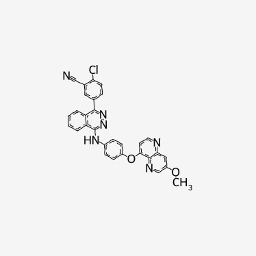 COc1cnc2c(Oc3ccc(Nc4nnc(-c5ccc(Cl)c(C#N)c5)c5ccccc45)cc3)ccnc2c1